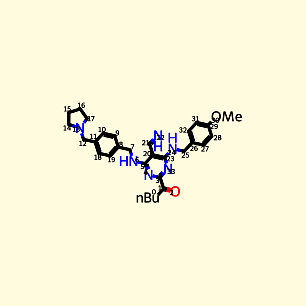 CCCCC(=O)c1nc(NCc2ccc(CN3CCCC3)cc2)c(C=N)c(NCc2ccc(OC)cc2)n1